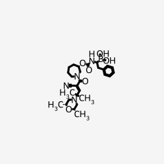 C[C@@H]1CN(C(C)(C)C=C(C#N)C(=O)N2CCCC[C@@H](OC(=O)NC(Cc3ccccc3)B(O)O)C2)C[C@H](C)O1